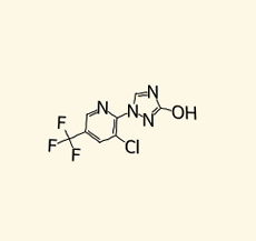 Oc1ncn(-c2ncc(C(F)(F)F)cc2Cl)n1